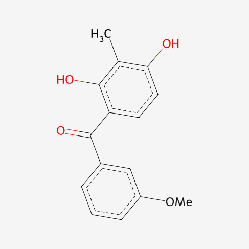 COc1cccc(C(=O)c2ccc(O)c(C)c2O)c1